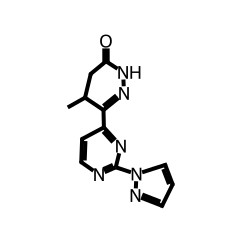 CC1CC(=O)NN=C1c1ccnc(-n2cccn2)n1